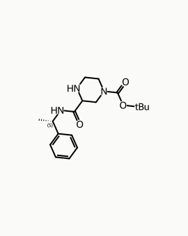 C[C@H](NC(=O)C1CN(C(=O)OC(C)(C)C)CCN1)c1ccccc1